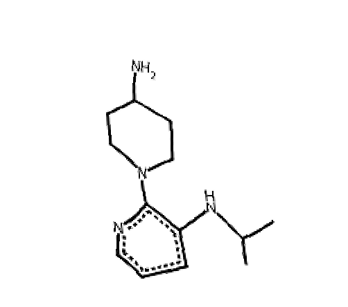 CC(C)Nc1cccnc1N1CCC(N)CC1